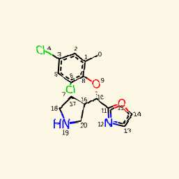 Cc1cc(Cl)cc(Cl)c1O[C@H](c1ncco1)[C@@H]1CCNC1